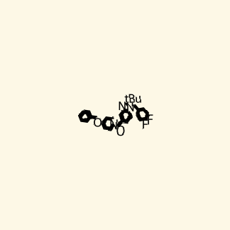 CC(C)(C)c1nc2cc(C(=O)N3CCC(OCc4ccccc4)CC3)ccc2n1CC1CCC(F)(F)CC1